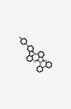 Cc1ccc(-c2ccc3c(c2)c2ccccc2n3-c2cccc3c2C(=O)N(c2ccccc2-c2ccccc2)C3=O)cc1